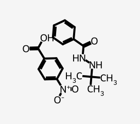 CC(C)(C)NNC(=O)c1ccccc1.O=C(O)c1ccc([N+](=O)[O-])cc1